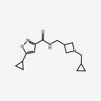 O=C(NCC1CN(CC2CC2)C1)c1cc(C2CC2)on1